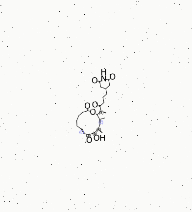 CO[C@H]1/C=C/CCCCC(=O)OC([C@H](C)C(=O)CCCC2CC(=O)NC(=O)C2)/C(C)=C\[C@@H](C)[C@@H]1O